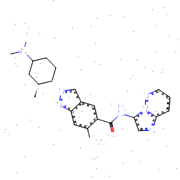 COc1cc2nn([C@H]3CCC(N(C)C(C)=O)C[C@@H]3C)cc2cc1C(=O)Nc1cnc2cccnn12